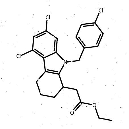 CCOC(=O)CC1CCCc2c1n(Cc1ccc(Cl)cc1)c1cc(Cl)cc(Cl)c21